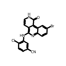 N#Cc1ccc(Cl)c(Nc2nc3ccc(Br)cc3c3c(=O)[nH]ccc23)c1